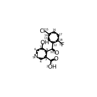 O=C(O)c1cncc(O)c1C(=O)c1cc(Cl)ccc1F